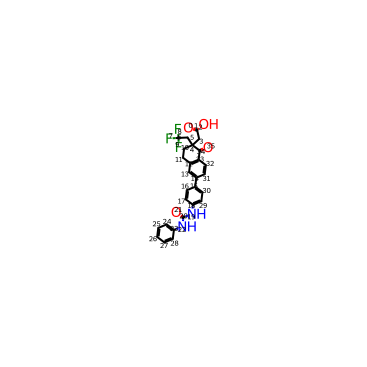 O=C(O)CC1(CC(F)(F)F)CCc2cc(-c3ccc(NC(=O)Nc4ccccc4)cc3)ccc2C1=O